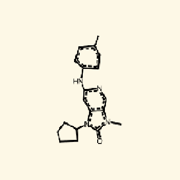 Cc1ccc(Nc2cc3c(cn2)n(C)c(=O)n3C2CCCC2)cc1